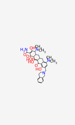 CN(C)c1cc(CN2CCc3ccccc3C2)c(O)c2c1CC1CC3C(C(O)=C1C2=O)C(O)(O)C(C(N)=O)=C(O)[C@H]3N(C)C